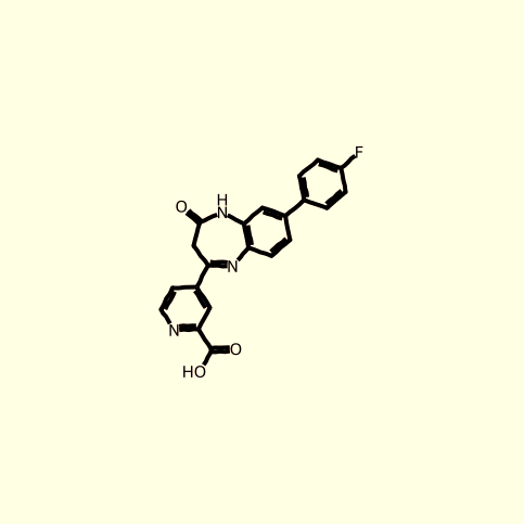 O=C1CC(c2ccnc(C(=O)O)c2)=Nc2ccc(-c3ccc(F)cc3)cc2N1